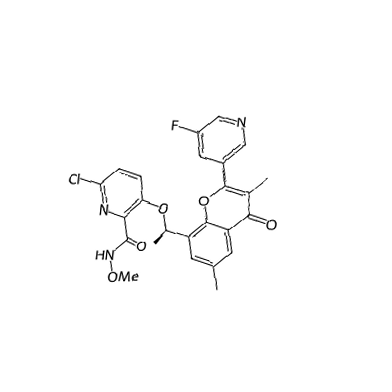 CONC(=O)c1nc(Cl)ccc1O[C@H](C)c1cc(C)cc2c(=O)c(C)c(-c3cncc(F)c3)oc12